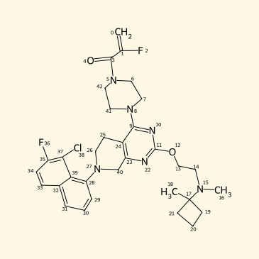 C=C(F)C(=O)N1CCN(c2nc(OCCN(C)C3(C)CCC3)nc3c2CCN(c2cccc4ccc(F)c(Cl)c24)C3)CC1